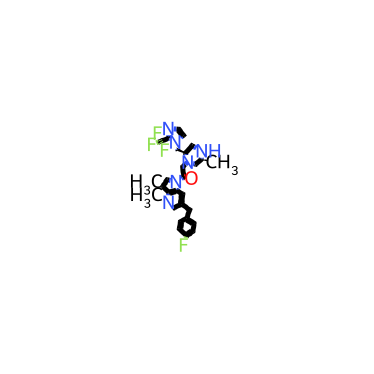 C[C@@H]1CN(CC(=O)N2CC(C)(C)c3ncc(Cc4ccc(F)cc4)cc32)[C@@H](Cn2ccnc2C(F)(F)F)CN1